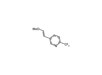 CO/C=C/c1ccc(C(F)(F)F)nc1